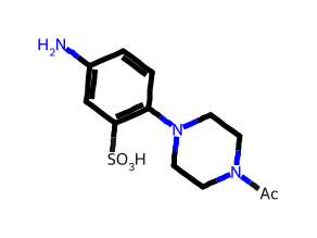 CC(=O)N1CCN(c2ccc(N)cc2S(=O)(=O)O)CC1